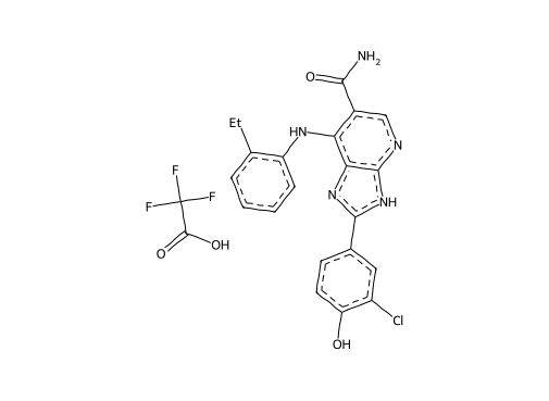 CCc1ccccc1Nc1c(C(N)=O)cnc2[nH]c(-c3ccc(O)c(Cl)c3)nc12.O=C(O)C(F)(F)F